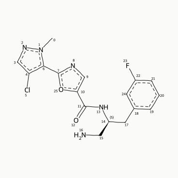 Cn1ncc(Cl)c1-c1ncc(C(=O)N[C@H](CN)Cc2cccc(F)c2)o1